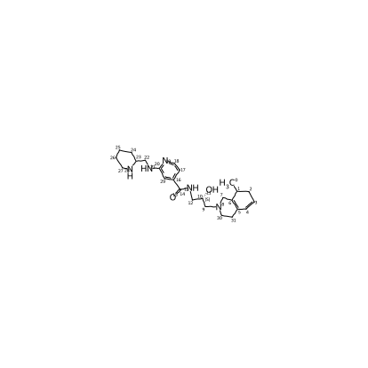 CC1CC=CC2=C1CN(C[C@@H](O)CNC(=O)c1ccnc(NCC3CCCCN3)c1)CC2